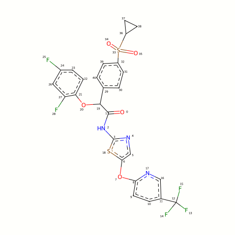 O=C(Nc1ncc(Oc2ccc(C(F)(F)F)cn2)s1)C(Oc1ccc(F)cc1F)c1ccc(S(=O)(=O)C2CC2)cc1